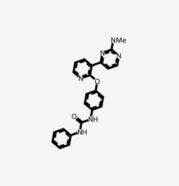 CNc1nccc(-c2cccnc2Oc2ccc(NC(=O)Nc3ccccc3)cc2)n1